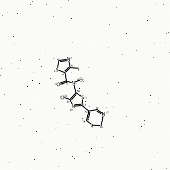 CCN(C(=O)c1scnc1C)c1sc(C2=CCCN=C2)nc1Cl